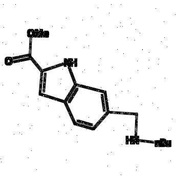 CCCCNCc1ccc2cc(C(=O)OC)[nH]c2c1